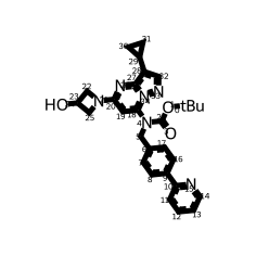 CC(C)(C)OC(=O)N(Cc1ccc(-c2ccccn2)cc1)c1cc(N2CC(O)C2)nc2c(C3CC3)cnn12